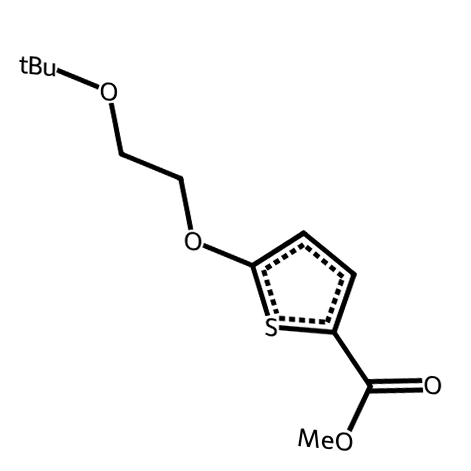 COC(=O)c1ccc(OCCOC(C)(C)C)s1